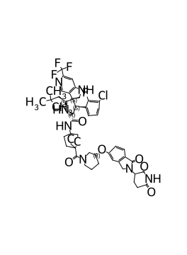 CC(C)(C)C[C@@H]1N[C@@H](C(=O)NC23CCC(C(=O)N4CCC[C@@H](Oc5ccc6c(c5)CN(C5CCC(=O)NC5=O)C6=O)C4)(CC2)CC3)[C@H](c2cccc(Cl)c2F)[C@]12CNc1cc(C(F)(F)F)ncc12